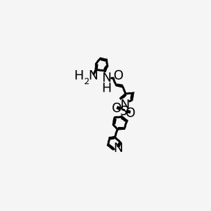 Nc1ccccc1NC(=O)/C=C/c1ccn(S(=O)(=O)c2ccc(-c3cccnc3)cc2)c1